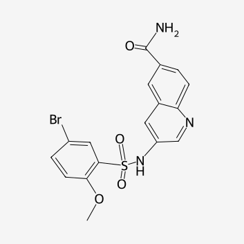 COc1ccc(Br)cc1S(=O)(=O)Nc1cnc2ccc(C(N)=O)cc2c1